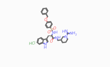 Cl.N=C(N)N1CCCC(CNC(=O)[C@@H](Cc2c[nH]c3ccccc23)NS(=O)(=O)c2ccc(OCc3ccccc3)cc2)C1